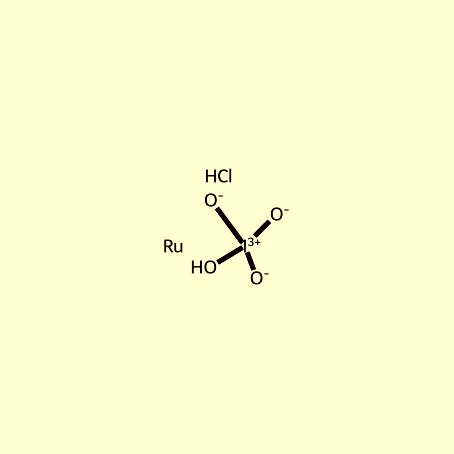 Cl.[O-][I+3]([O-])([O-])O.[Ru]